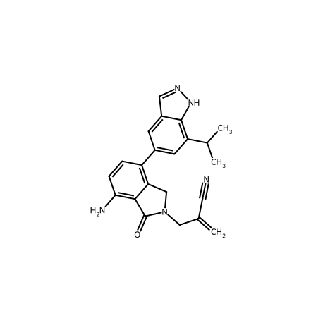 C=C(C#N)CN1Cc2c(-c3cc(C(C)C)c4[nH]ncc4c3)ccc(N)c2C1=O